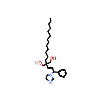 CCCCCCCCCCCCCC(C=CC(c1ccccc1)N1C=NCC1)(CO)CO